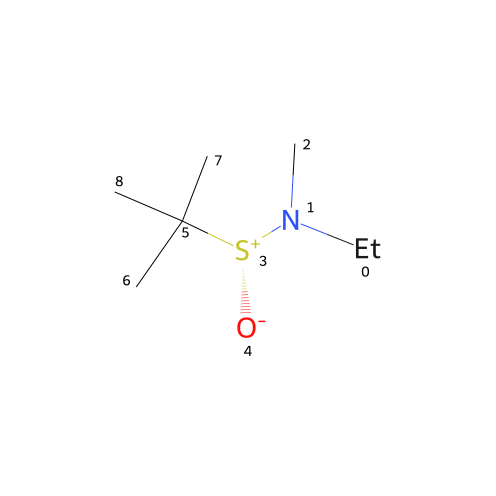 CCN(C)[S@+]([O-])C(C)(C)C